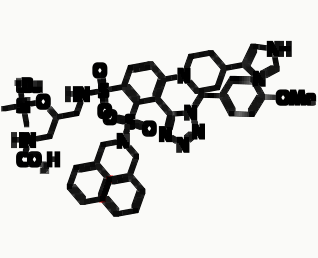 COc1ccc(Cn2nnnc2-c2c(N3CCC(c4c[nH]cn4)CC3)ccc(S(=O)(=O)NCC(CNC(=O)O)O[Si](C)(C)C(C)(C)C)c2S(=O)(=O)N(Cc2ccccc2)Cc2ccccc2)cc1